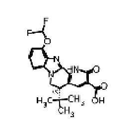 CC(C)(C)[C@@H]1Cn2c(nc3c(OC(F)F)cccc32)-c2[nH]c(=O)c(C(=O)O)cc21